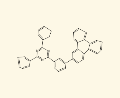 C1=CCCC(c2nc(-c3ccccc3)nc(-c3cccc(-c4ccc5c6ccccc6c6ccccc6c5c4)c3)n2)=C1